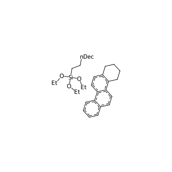 CCCCCCCCCCCC[Si](OCC)(OCC)OCC.c1ccc2c(c1)ccc1c3c(ccc12)CCCC3